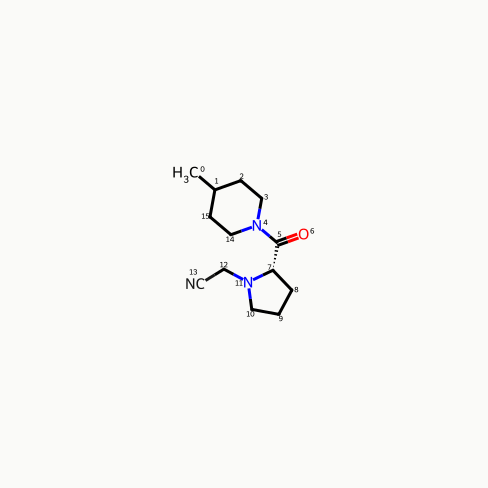 CC1CCN(C(=O)[C@@H]2CCCN2CC#N)CC1